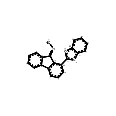 ON=C1c2ccccc2-c2cccc(-c3nc4ccccc4o3)c21